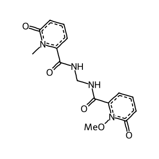 COn1c(C(=O)NCNC(=O)c2cccc(=O)n2C)cccc1=O